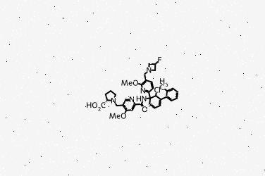 COc1cc(C(=O)NC2(c3ccc(CN4CC(F)C4)c(OC)n3)C=CC=C(c3ccccc3C)C2Cl)ncc1CN1CCC[C@H]1C(=O)O